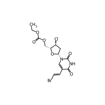 CCOC(=O)OC[C@H]1O[C@@H](n2cc(/C=C/Br)c(=O)[nH]c2=O)C[C@@H]1Cl